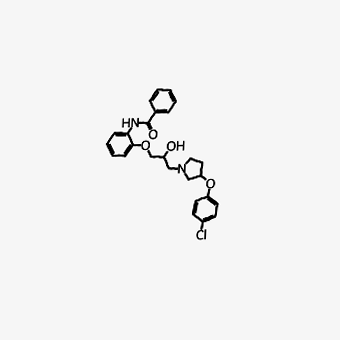 O=C(Nc1ccccc1OCC(O)CN1CCC(Oc2ccc(Cl)cc2)C1)c1ccccc1